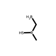 BCB(C)S